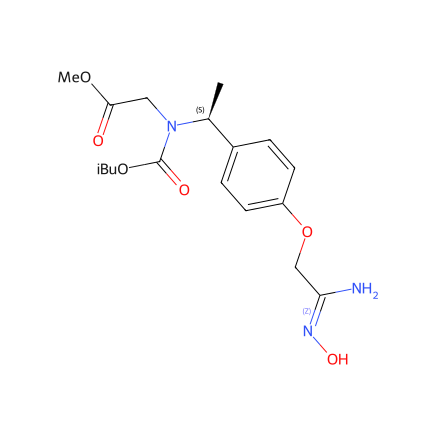 COC(=O)CN(C(=O)OCC(C)C)[C@@H](C)c1ccc(OC/C(N)=N/O)cc1